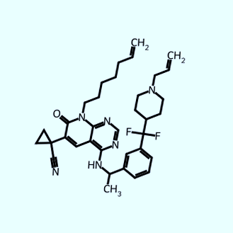 C=CCCCCCn1c(=O)c(C2(C#N)CC2)cc2c(NC(C)c3cccc(C(F)(F)C4CCN(CC=C)CC4)c3)ncnc21